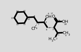 CC(C)[C@H](C[C@H](O)[C@H](Cl)CC1CCCCC1)C(=O)O